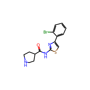 O=C(Nc1nc(-c2ccccc2Br)cs1)C1CCNCC1